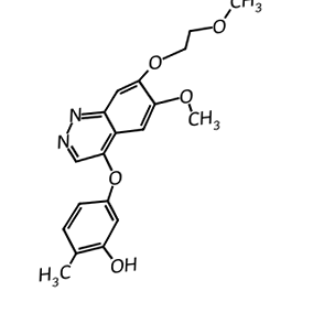 COCCOc1cc2nncc(Oc3ccc(C)c(O)c3)c2cc1OC